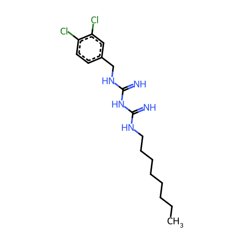 CCCCCCCCNC(=N)NC(=N)NCc1ccc(Cl)c(Cl)c1